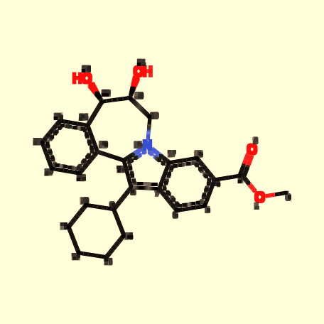 COC(=O)c1ccc2c(C3CCCCC3)c3n(c2c1)C[C@H](O)[C@H](O)c1ccccc1-3